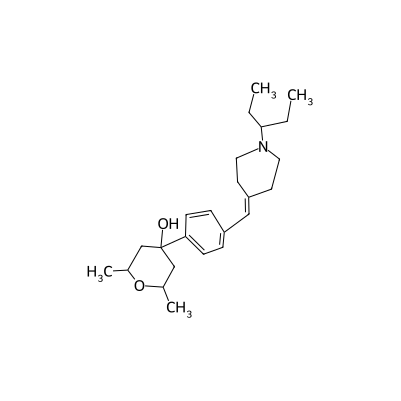 CCC(CC)N1CCC(=Cc2ccc(C3(O)CC(C)OC(C)C3)cc2)CC1